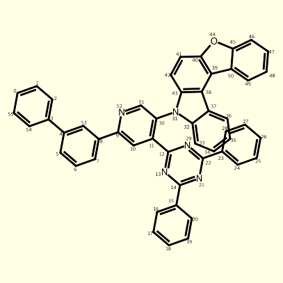 c1ccc(-c2cccc(-c3cc(-c4nc(-c5ccccc5)nc(-c5ccccc5)n4)c(-n4c5ccccc5c5c6c(ccc54)oc4ccccc46)cn3)c2)cc1